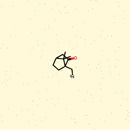 [2H]CC12CCC(CC1=O)C2(C)C